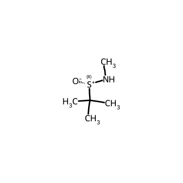 CN[S@@+]([O-])C(C)(C)C